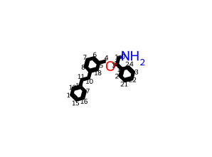 NCC(OCc1cccc(CCc2ccccc2)c1)c1ccccc1